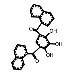 O=C(c1cc(C(=O)c2cccc3ccccc23)c(O)c(O)c1O)c1cccc2ccccc12